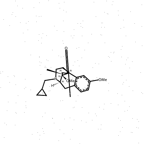 COc1ccc2c(c1)[C@]13CCN(CC4CC4)[C@H](C2)[C@]1(OC)[C@H](C)CC(=O)C3